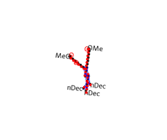 CCCCCCCCCCCCN(CCCCCCCCCCCC)CCN(CCCCCCCCCCCC)CCN1CCN(CCN(CCCCCCCCCCCC(=O)OC)CCCCCCOCCCCC(=O)OC)CC1